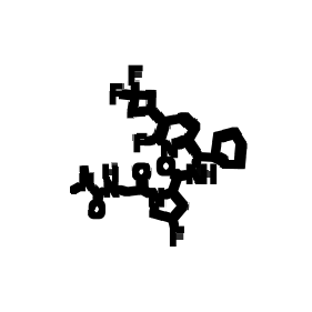 CN(C)C(=O)NCC(=O)N1CC(F)CC1C(=O)NC(c1ccccc1)c1ccc(C2CC(F)(F)C2)c(F)n1